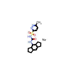 Cc1ccc(S(=O)(=O)NC(=O)Nc2c3c(cc4c2CCC4)CCC3)nn1.[Na]